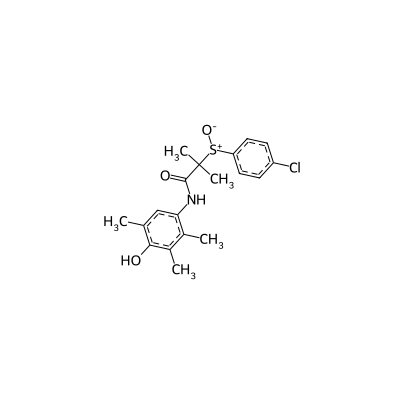 Cc1cc(NC(=O)C(C)(C)[S+]([O-])c2ccc(Cl)cc2)c(C)c(C)c1O